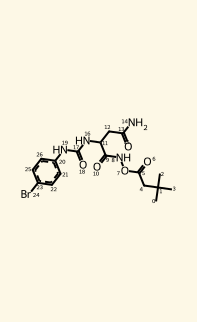 CC(C)(C)CC(=O)ONC(=O)C(CC(N)=O)NC(=O)Nc1ccc(Br)cc1